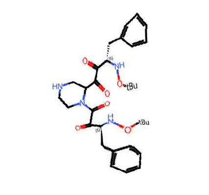 CC(C)(C)ON[C@@H](Cc1ccccc1)C(=O)C(=O)C1CNCCN1C(=O)C(=O)[C@H](Cc1ccccc1)NOC(C)(C)C